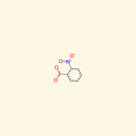 O=[N+]([O-])c1ccccc1I(=O)=O